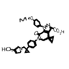 COc1ccc(-n2nc(C(=O)O)c3c2C(=O)N(c2ccc(C4(CN5CC[C@@H](O)C5)CC4)cc2)CC32CC2)cc1